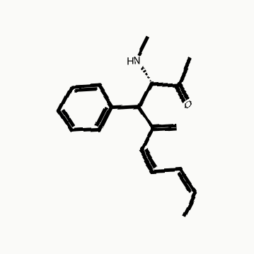 C=C(/C=C\C=C/C)C(c1ccccc1)[C@H](NC)C(C)=O